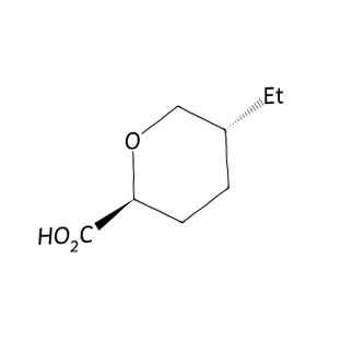 CC[C@@H]1CC[C@@H](C(=O)O)OC1